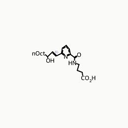 CCCCCCCCC(O)/C=C/c1cccc(C(=O)NCCCC(=O)O)n1